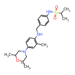 Cc1cc(N2CC(C)O[C@H](C)C2)ccc1NCc1ccc(NS(=O)(=O)C(C)C)cc1